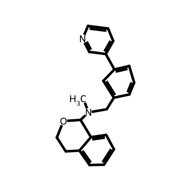 CN(Cc1cccc(-c2cccnc2)c1)C1OCCc2ccccc21